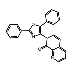 O=c1c2ncccc2ccn1-c1nc(-c2ccccc2)oc1-c1ccccc1